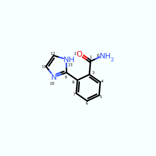 NC(=O)c1ccccc1-c1ncc[nH]1